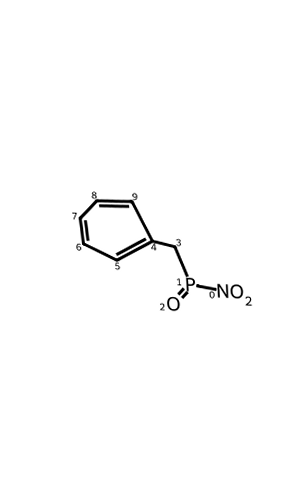 O=[N+]([O-])[P](=O)Cc1ccccc1